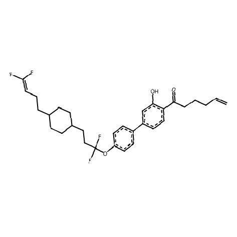 C=CCCCC(=O)c1ccc(-c2ccc(OC(F)(F)CCC3CCC(CCC=C(F)F)CC3)cc2)cc1O